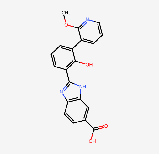 COc1ncccc1-c1cccc(-c2nc3ccc(C(=O)O)cc3[nH]2)c1O